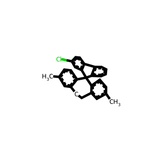 Cc1ccc2c(c1)CCc1cc(C)ccc1C21c2ccccc2-c2ccc(Cl)cc21